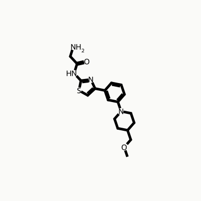 COCC1CCN(c2cccc(-c3csc(NC(=O)CN)n3)c2)CC1